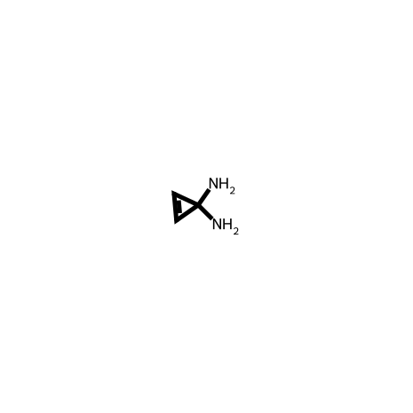 NC1(N)C=C1